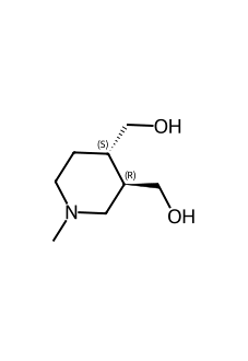 CN1CC[C@H](CO)[C@@H](CO)C1